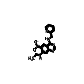 CCNc1cc2ncnc(NCc3ccccn3)c2cc1[N+](=O)[O-]